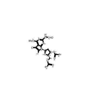 COc1nc(NC=O)nc2c1c(Cl)c(I)n2[C@H]1C[C@H](OC(=O)C(C)C)[C@@H](COC(=O)C(C)C)O1